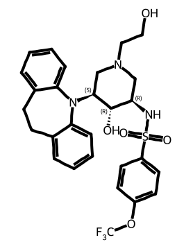 O=S(=O)(N[C@@H]1CN(CCO)C[C@H](N2c3ccccc3CCc3ccccc32)[C@H]1O)c1ccc(OC(F)(F)F)cc1